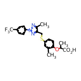 Cc1cc(SCc2nn(-c3ccc(C(F)(F)F)cc3)nc2C)ccc1OC(C)C(=O)O